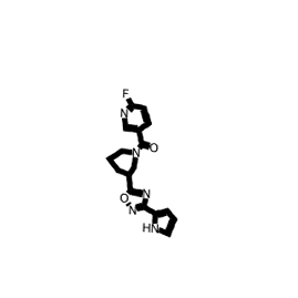 O=C(c1ccc(F)nc1)N1CCCC(c2nc(-c3ccc[nH]3)no2)C1